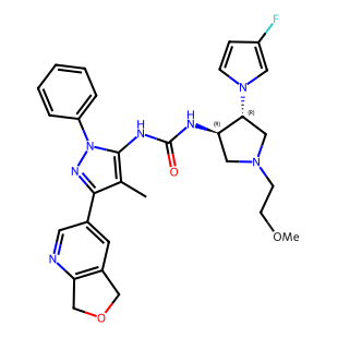 COCCN1C[C@@H](n2ccc(F)c2)[C@H](NC(=O)Nc2c(C)c(-c3cnc4c(c3)COC4)nn2-c2ccccc2)C1